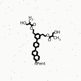 C=C(CO)C(=O)OCCc1cc(CCOC(=O)C(C)CO)cc(-c2ccc(-c3ccc4cc(CCCCC)ccc4c3)cc2)c1